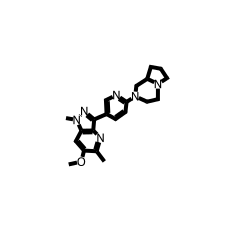 COc1cc2c(nc1C)c(-c1ccc(N3CCN4CCCC4C3)nc1)nn2C